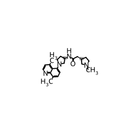 Cc1ccc(N2CC[C@@H](NC(=O)C[C@H]3CCN(C)C3)C2)c2c(C)ccnc12